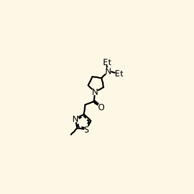 CCN(CC)C1CCN(C(=O)Cc2csc(C)n2)C1